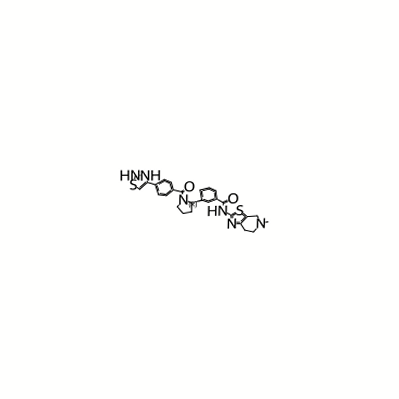 CN1CCc2nc(NC(=O)c3cccc([C@H]4CCCN4C(=O)c4ccc(C5=CSNN5)cc4)c3)sc2C1